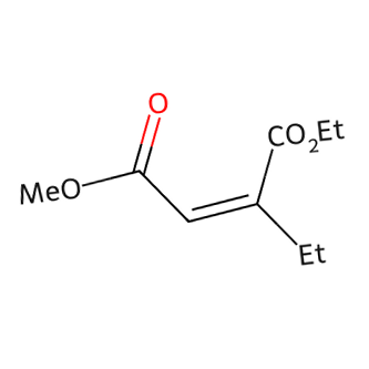 CCOC(=O)/C(=C\C(=O)OC)CC